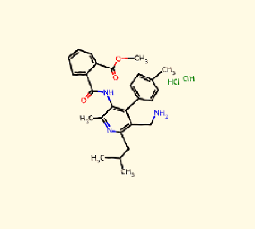 COC(=O)c1ccccc1C(=O)Nc1c(C)nc(CC(C)C)c(CN)c1-c1ccc(C)cc1.Cl.Cl